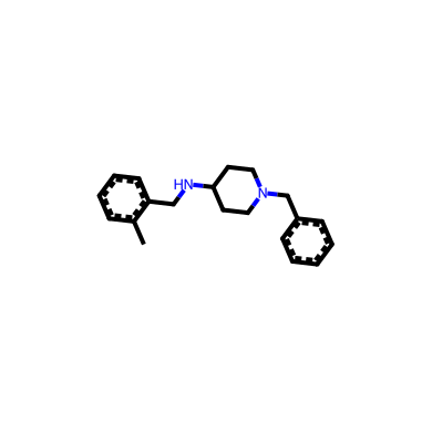 Cc1ccccc1CNC1CCN(Cc2ccccc2)CC1